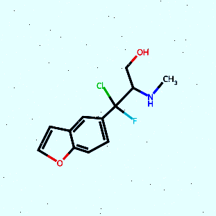 CNC(CO)C(F)(Cl)c1ccc2occc2c1